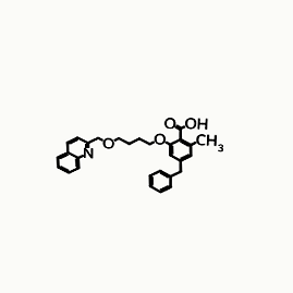 Cc1cc(Cc2ccccc2)cc(OCCCCOCc2ccc3ccccc3n2)c1C(=O)O